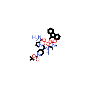 C[C@@H](C(=O)NC(C(=O)N1CCC[C@H]1C(N)=O)C1CCN(C(=O)OC(C)(C)C)CC1)N(C)C(=O)OCC1c2ccccc2-c2ccccc21